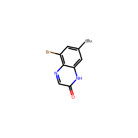 CC(C)(C)c1cc(Br)c2ncc(=O)[nH]c2c1